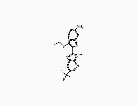 CCSc1c(-c2nc3cc(C(F)(F)F)cnc3n2C)nc2cc(N)ccn12